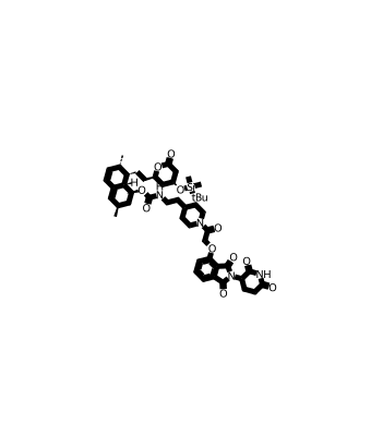 C[C@H]1C=C2C=C[C@H](C)[C@H](CC[C@@H]3C[C@@H](O[Si](C)(C)C(C)(C)C)CC(=O)O3)[C@H]2[C@@H](OC(=O)NCCC2CCN(C(=O)COc3cccc4c3C(=O)N(C3CCC(=O)NC3=O)C4=O)CC2)C1